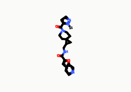 CCn1nccc1C(=O)N1CCC2(CC1)CC2CNC(=O)c1cc2ccncc2o1